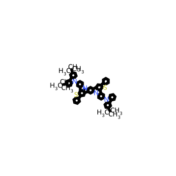 CC(C)(C)c1ccc2c(c1)c1ccccc1n2-c1ccc2c(c1)c1c3sc4ccccc4c3cc3c4cc5c(cc4n2c31)c1cc2c3ccccc3sc2c2c3cc(-n4c6ccc(C(C)(C)C)cc6c6cc(C(C)(C)C)ccc64)ccc3n5c12